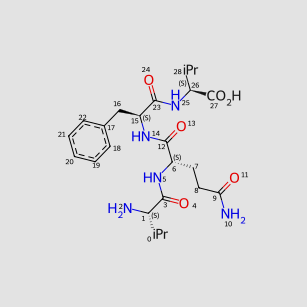 CC(C)[C@H](N)C(=O)N[C@@H](CCC(N)=O)C(=O)N[C@@H](Cc1ccccc1)C(=O)N[C@H](C(=O)O)C(C)C